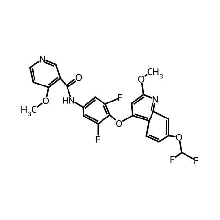 COc1cc(Oc2c(F)cc(NC(=O)c3cnccc3OC)cc2F)c2ccc(OC(F)F)cc2n1